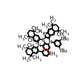 Cc1cc2c3c(c1)N(c1cc(C(C)(C)C)cc(C(C)(C)C)c1)c1c(sc4cc5c(cc14)C(C)(C)CCC5(C)C)B3c1cc3c(cc1N2c1cc2c(cc1-c1ccccc1)C(C)(C)CCC2(C)C)C(C)(C)CCC3(C)C